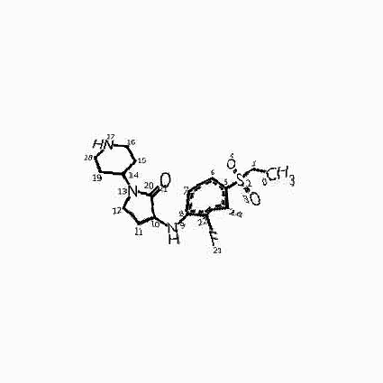 CCS(=O)(=O)c1ccc(NC2CCN(C3CCNCC3)C2=O)c(F)c1